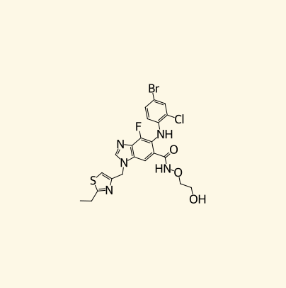 CCc1nc(Cn2cnc3c(F)c(Nc4ccc(Br)cc4Cl)c(C(=O)NOCCO)cc32)cs1